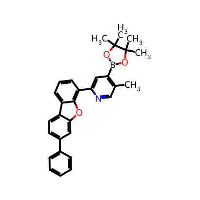 Cc1cnc(-c2cccc3c2oc2cc(-c4ccccc4)ccc23)cc1B1OC(C)(C)C(C)(C)O1